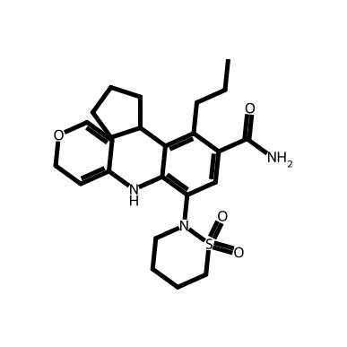 CCCc1c(C(N)=O)cc(N2CCCCS2(=O)=O)c(NC2=CCOC=C2)c1C1CCCC1